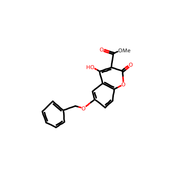 COC(=O)c1c(O)c2cc(OCc3ccccc3)ccc2oc1=O